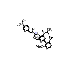 CC[S+]([O-])c1cnc(CN/C(C=O)=N/c2c(C)nc(-c3c(OC)ncnc3C3CC3)nc2N(C)C(C)C(F)(F)F)nc1